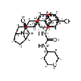 O=C(Nc1cc(Cl)ccc1C=CC(=O)N1C2CCC1CN(Cc1ccc(F)cc1)C2)NC1CCOCC1